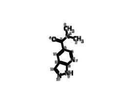 CN(C)C(=O)c1cnc2[nH]ncc2c1